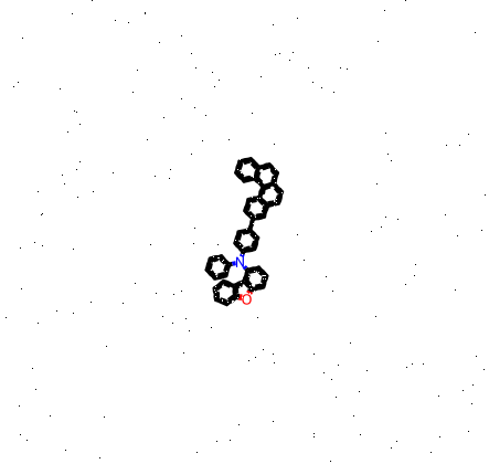 c1ccc(N(c2ccc(-c3ccc4c(ccc5ccc6ccccc6c54)c3)cc2)c2cccc3oc4ccccc4c23)cc1